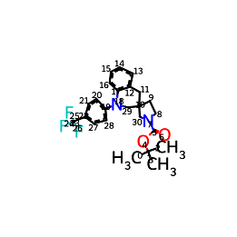 CC(C)(C)OC(=O)N1CCC2(Cc3ccccc3N(c3ccc(C(F)(F)F)cc3)C2)C1